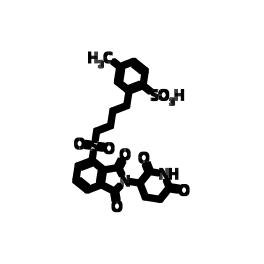 Cc1ccc(S(=O)(=O)O)c(CCCCS(=O)(=O)c2cccc3c2C(=O)N(C2CCC(=O)NC2=O)C3=O)c1